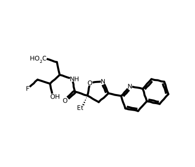 CC[C@@]1(C(=O)NC(CC(=O)O)C(O)CF)CC(c2ccc3ccccc3n2)=NO1